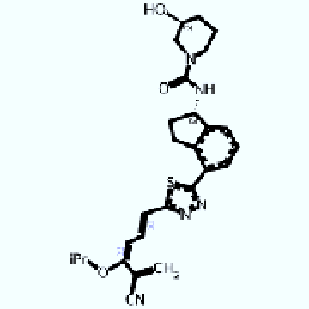 C=C(C#N)/C(=C\C=C\c1nnc(-c2cccc3c2CC[C@@H]3NC(=O)N2CCC[C@H](O)C2)s1)OC(C)C